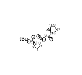 CC(C)(C)OC(=O)N1CCC[C@H]1C(=O)OCC(=O)c1ccccn1